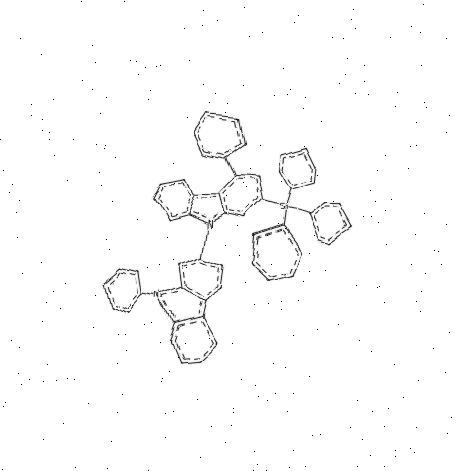 c1ccc(-c2cc([Si](c3ccccc3)(c3ccccc3)c3ccccc3)cc3c2c2ccccc2n3-c2ccc3c4ccccc4n(-c4ccccc4)c3c2)cc1